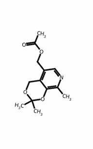 CC(=O)OCc1cnc(C)c2c1COC(C)(C)O2